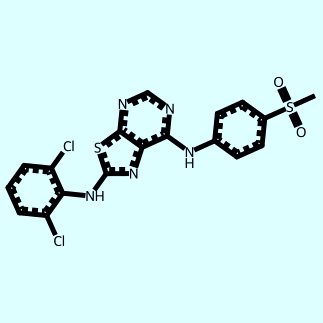 CS(=O)(=O)c1ccc(Nc2ncnc3sc(Nc4c(Cl)cccc4Cl)nc23)cc1